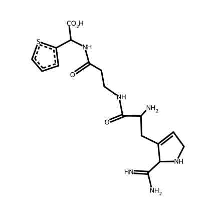 N=C(N)C1NCC=C1CC(N)C(=O)NCCC(=O)NC(C(=O)O)c1cccs1